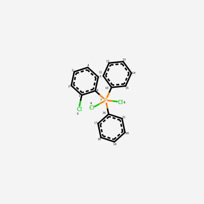 Clc1ccccc1P(Cl)(Cl)(c1ccccc1)c1ccccc1